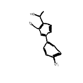 CC(O)c1ccc(-c2ccc(C(F)(F)F)cc2)cc1Cl